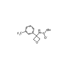 CC(C)(C)[S+]([O-])NC1(c2cccc(C(F)(F)F)c2)COC1